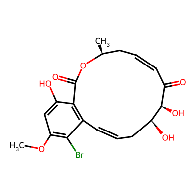 COc1cc(O)c2c(c1Br)C=CC[C@H](O)[C@H](O)C(=O)C=CC[C@H](C)OC2=O